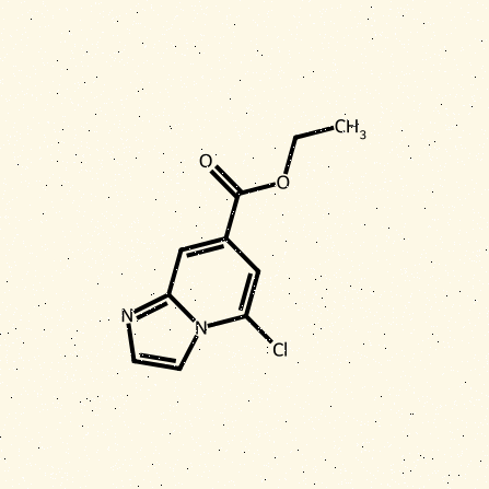 CCOC(=O)c1cc(Cl)n2ccnc2c1